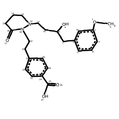 COc1cccc(CC(O)CCN2CCCC(=O)N2CCc2ccc(C(=O)O)cc2)c1